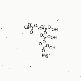 O=C([O-])OO.O=C([O-])OO.O=C([O-])OO.O=C([O-])OO.[Ca+2].[Mg+2]